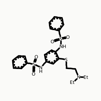 CCN(CC)CCSc1cc(NS(=O)(=O)c2ccccc2)ccc1NS(=O)(=O)c1ccccc1